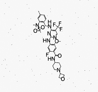 COc1cc(C(=O)NC2CCN(C3COC3)CC2)c(F)cc1Nc1ncc(C(F)(F)F)c(NCc2ccc(C)cc2N(C)S(C)(=O)=O)n1